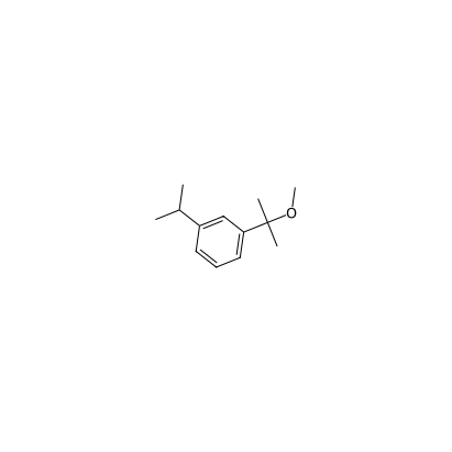 COC(C)(C)c1cccc(C(C)C)c1